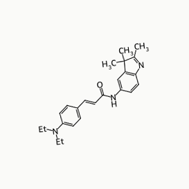 CCN(CC)c1ccc(/C=C/C(=O)Nc2ccc3c(c2)C(C)(C)C(C)=N3)cc1